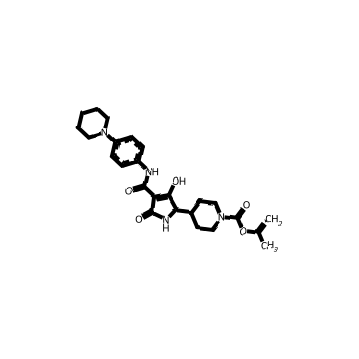 C=C(C)OC(=O)N1CCC(C2NC(=O)C(C(=O)Nc3ccc(N4CCCCC4)cc3)=C2O)CC1